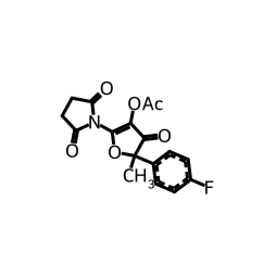 CC(=O)OC1=C(N2C(=O)CCC2=O)OC(C)(c2ccc(F)cc2)C1=O